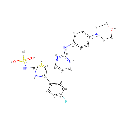 CCS(=O)(=O)Nc1nc(-c2ccc(F)cc2)c(-c2ccnc(Nc3ccc(N4CCOCC4)cc3)n2)s1